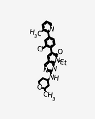 CCn1c(=O)c(-c2ccc(-c3ncccc3C)cc2Cl)cc2cnc(NC3CCOC(C)C3)nc21